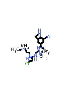 C/C=C(\N=C(\CNc1cc(Cl)nn1CCCN(C)CC)N(C)C)c1cc(C#N)c2c(c1)CCN2